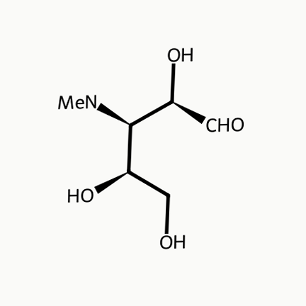 CN[C@H]([C@H](O)CO)[C@@H](O)C=O